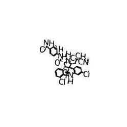 CC(C)(C#N)C[C@@H]1N[C@@H](C(=O)Nc2ccc(C(N)=O)cc2)[C@H](c2cccc(Cl)c2F)[C@]12C(=O)Nc1cc(Cl)ccc12